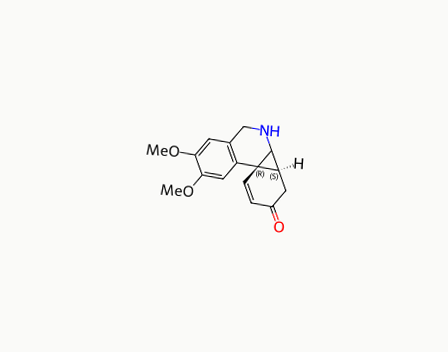 COc1cc2c(cc1OC)[C@@]13C=CC(=O)C[C@@H]1C3NC2